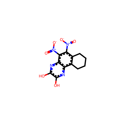 O=[N+]([O-])c1c2c(c3nc(O)c(O)nc3c1[N+](=O)[O-])CCCC2